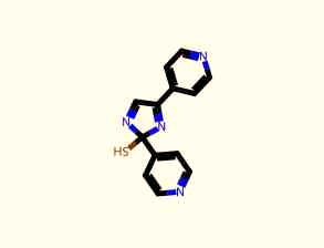 SC1(c2ccncc2)N=CC(c2ccncc2)=N1